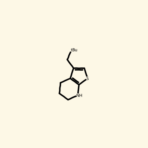 CC(C)(C)Cc1csc2c1CCCN2